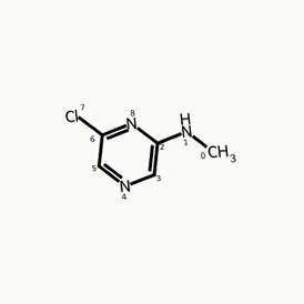 CNc1cncc(Cl)n1